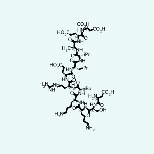 CC[C@H](C)[C@H](NC(=O)[C@H](CCCCN)NC(=O)[C@H](CCCCN)NC(=O)[C@H](CO)NC(=O)[C@@H](N)CC(=O)O)C(=O)N[C@@H](CCCNC(=N)N)C(=O)N[C@@H](CCC(=O)O)C(=O)N[C@@H](CC(C)C)C(=O)N[C@H](C(=O)N[C@@H](C)C(=O)N[C@@H](CCC(=O)O)C(=O)N[C@@H](CC(=O)O)C(=O)O)C(C)C